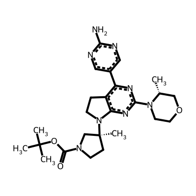 C[C@@H]1COCCN1c1nc(-c2cnc(N)nc2)c2c(n1)N([C@@]1(C)CCN(C(=O)OC(C)(C)C)C1)CC2